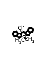 C[Si]1(C)C2=Cc3ccccc3[CH]2[Sc+][CH]2C1=Cc1ccccc12.[Cl-]